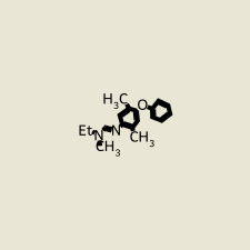 CCN(C)/C=N/c1cc(C)c(Oc2ccccc2)cc1C